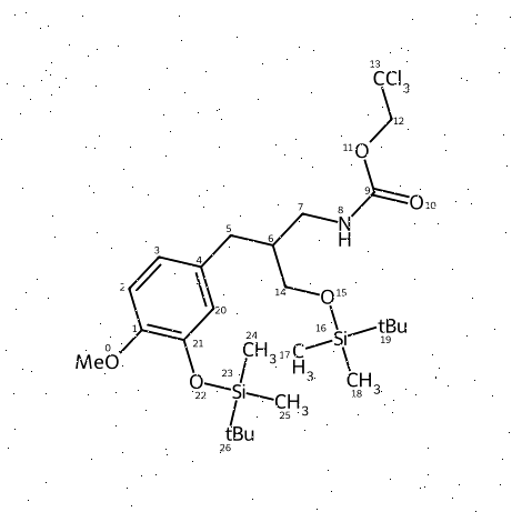 COc1ccc(CC(CNC(=O)OCC(Cl)(Cl)Cl)CO[Si](C)(C)C(C)(C)C)cc1O[Si](C)(C)C(C)(C)C